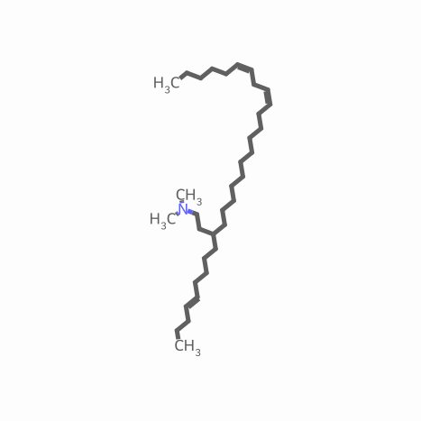 CCC/C=C/CCCCC(CCCCCCCCCC/C=C\C/C=C\CCCCC)CCN(C)C